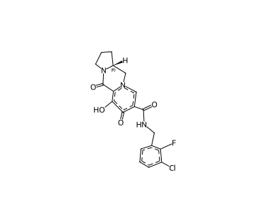 O=C(NCc1cccc(Cl)c1F)c1cn2c(c(O)c1=O)C(=O)N1CCC[C@@H]1C2